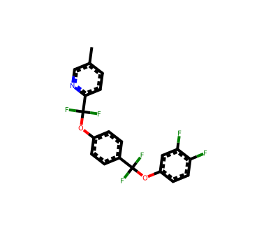 Cc1ccc(C(F)(F)Oc2ccc(C(F)(F)Oc3ccc(F)c(F)c3)cc2)nc1